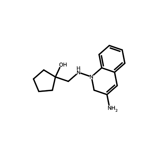 NC1=Cc2ccccc2N(NCC2(O)CCCC2)C1